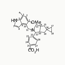 COc1cc(C)c2[nH]ccc2c1CN1CC2CC3(CC3)CC2C1c1ccc(C(=O)O)cc1